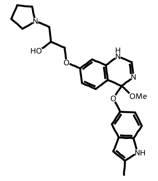 COC1(Oc2ccc3[nH]c(C)cc3c2)N=CNc2cc(OCC(O)CN3CCCC3)ccc21